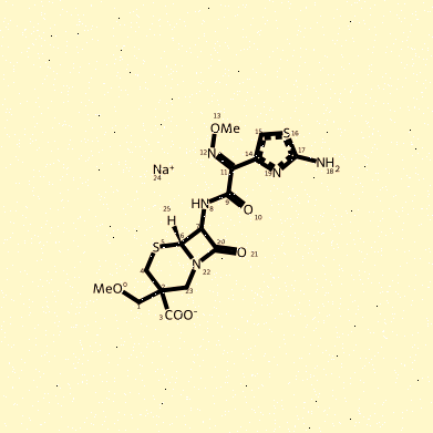 COCC1(C(=O)[O-])CS[C@@H]2C(NC(=O)C(=NOC)c3csc(N)n3)C(=O)N2C1.[Na+]